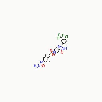 Cc1cc(N(C)C(N)=O)cc(C)c1CCS(=O)(=O)N1CCC2(CC1)N=C(c1ccc(Cl)c(C(F)(F)F)c1)NC2=O